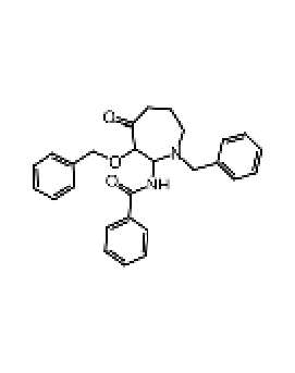 O=C(NC1C(OCc2ccccc2)C(=O)CCCN1Cc1ccccc1)c1ccccc1